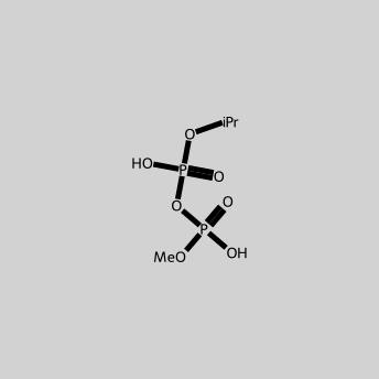 COP(=O)(O)OP(=O)(O)OC(C)C